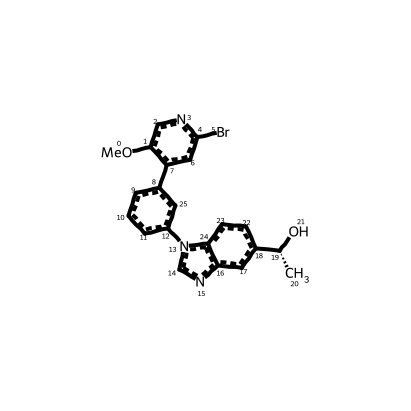 COc1cnc(Br)cc1-c1cccc(-n2cnc3cc([C@@H](C)O)ccc32)c1